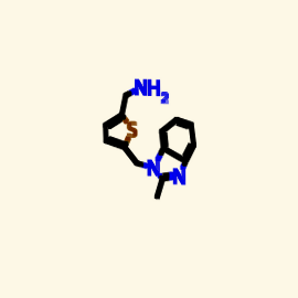 Cc1nc2ccccc2n1Cc1ccc(CN)s1